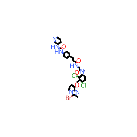 Cc1nc2c(OCc3c(Cl)ccc(N(C)C(=O)CNC(=O)C=Cc4ccc(NC(=O)Nc5cccnc5)cc4)c3Cl)cccn2c1Br